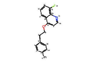 CC(C)c1ccc(CCOc2ccnc3c(F)cccc23)cc1